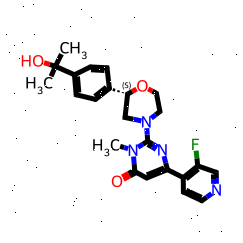 Cn1c(N2CCO[C@@H](c3ccc(C(C)(C)O)cc3)C2)nc(-c2ccncc2F)cc1=O